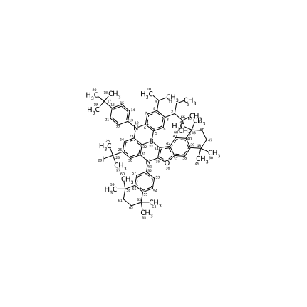 CCC(c1cc2c(cc1C(C)C)N(C1=C=C=C(C(C)(C)C)C=C1)c1cc(C(C)(C)I)cc3c1B2c1c(oc2cc4c(cc12)C(C)(C)CCC4(C)C)N3c1ccc2c(c1)C(C)(C)CCC2(C)C)C(C)C